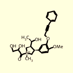 COc1ccc([C@H]2C[N@+](C)(C(=O)C(O)CO)C[C@H]2[C@@H](C)O)cc1OCC#Cc1ccccc1